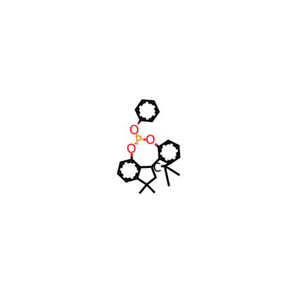 CC1(C)CC23CC(C)(C)c4cccc(c42)OP(Oc2ccccc2)Oc2cccc1c23